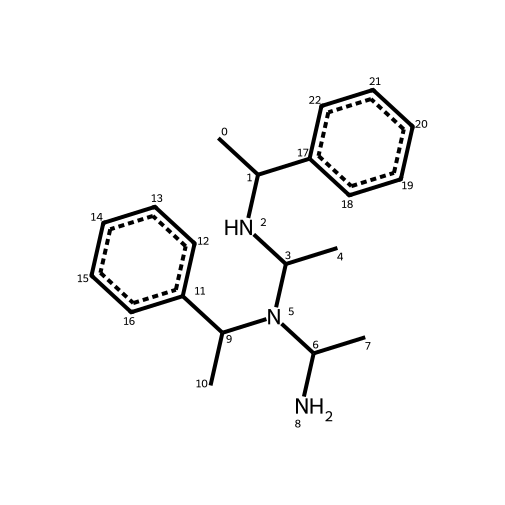 CC(NC(C)N(C(C)N)C(C)c1ccccc1)c1ccccc1